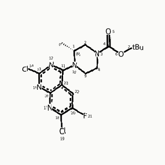 C[C@@H]1CN(C(=O)OC(C)(C)C)CCN1c1nc(Cl)nc2nc(Cl)c(F)cc12